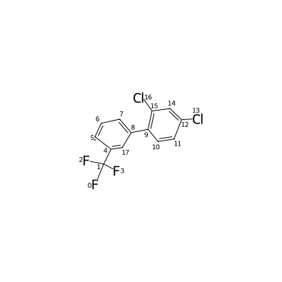 FC(F)(F)c1[c]ccc(-c2ccc(Cl)cc2Cl)c1